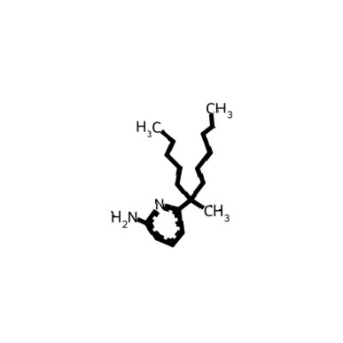 CCCCCCC(C)(CCCCC)c1cccc(N)n1